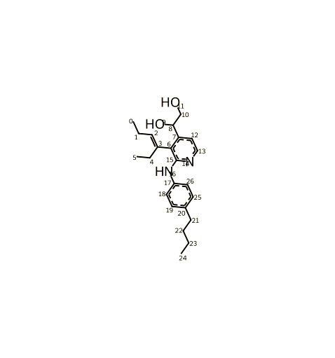 CC/C=C(\CC)c1c(C(O)CO)ccnc1Nc1ccc(CCCC)cc1